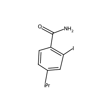 CC(C)c1ccc(C(N)=O)c(I)c1